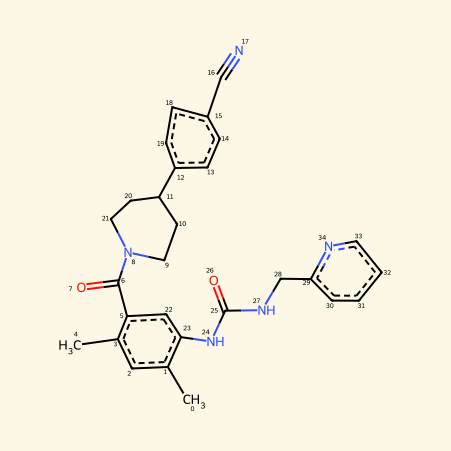 Cc1cc(C)c(C(=O)N2CCC(c3ccc(C#N)cc3)CC2)cc1NC(=O)NCc1ccccn1